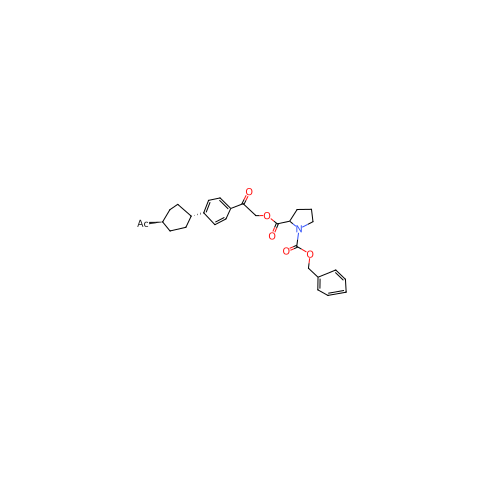 CC(=O)[C@H]1CC[C@H](c2ccc(C(=O)COC(=O)C3CCCN3C(=O)OCc3ccccc3)cc2)CC1